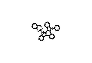 c1ccc(-n2c3ccccc3c3c2c2ccccc2c2c4ccccc4n(-c4ncc5ccccc5n4)c23)cc1